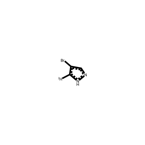 [2H]c1[nH]ncc1Br